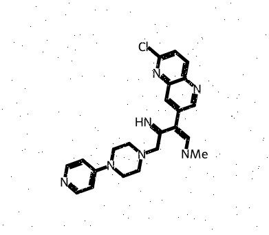 CN/C=C(\C(=N)CN1CCN(c2ccncc2)CC1)c1cnc2ccc(Cl)nc2c1